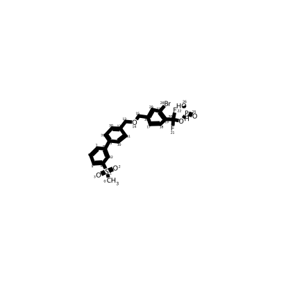 CS(=O)(=O)c1cccc(-c2ccc(COCc3ccc(C(F)(F)O[PH](=O)O)c(Br)c3)cc2)c1